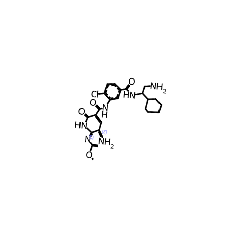 C=C(/N=C1/NC(=O)C(C(=O)Nc2cc(C(=O)NC(CN)C3CCCCC3)ccc2Cl)=C/C1=C/N)OC